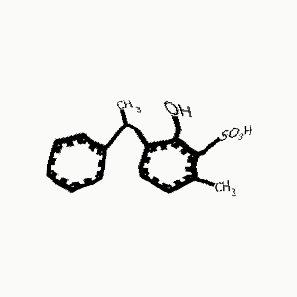 Cc1ccc(C(C)c2ccccc2)c(O)c1S(=O)(=O)O